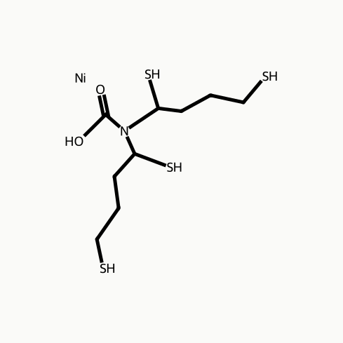 O=C(O)N(C(S)CCCS)C(S)CCCS.[Ni]